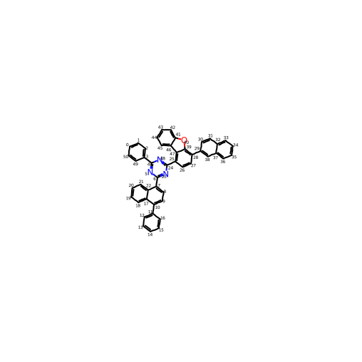 c1ccc(-c2nc(-c3ccc(-c4ccccc4)c4ccccc34)nc(-c3ccc(-c4ccc5ccccc5c4)c4oc5ccccc5c34)n2)cc1